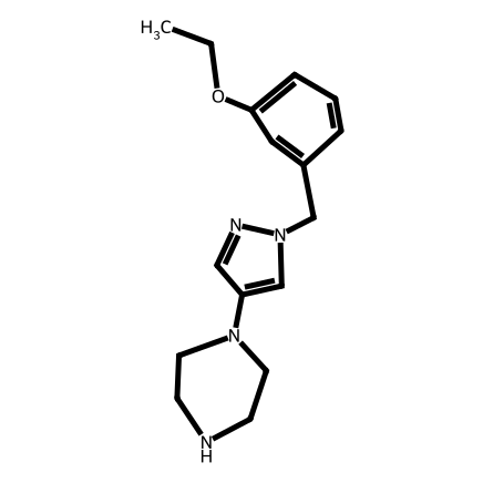 CCOc1cccc(Cn2cc(N3CCNCC3)cn2)c1